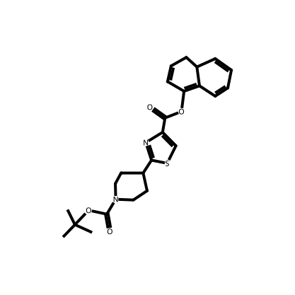 CC(C)(C)OC(=O)N1CCC(c2nc(C(=O)OC3=C4C=CC=CC4CC=C3)cs2)CC1